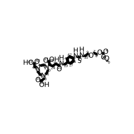 COOC(=O)OCCOCCNC(=S)Nc1ccc(CNC(=O)CCC(C(=O)O)N2CCN(CC(=O)O)CCN(CC(=O)O)CC2)cc1